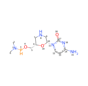 CN(C)POC[C@@H]1CNC[C@H](n2ccc(N)nc2=O)O1